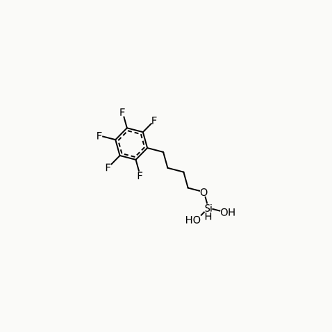 O[SiH](O)OCCCCc1c(F)c(F)c(F)c(F)c1F